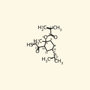 C=C(C)C(=O)OC1(C)CCC(SC(C)C)CC1C(=O)CS